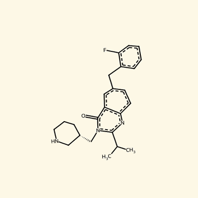 CC(C)c1nc2ccc(Cc3ccccc3F)cc2c(=O)n1C[C@H]1CCCNC1